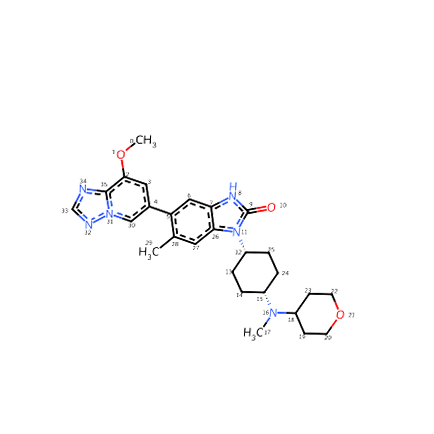 COc1cc(-c2cc3[nH]c(=O)n([C@H]4CC[C@@H](N(C)C5CCOCC5)CC4)c3cc2C)cn2ncnc12